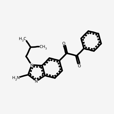 CC(C)Cn1c(N)nc2ccc(C(=O)C(=O)c3ccccc3)cc21